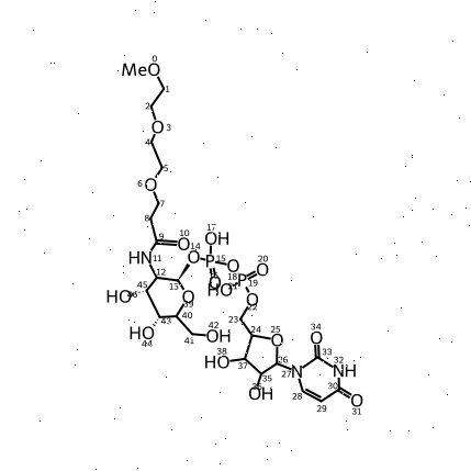 COCCOCCOCCC(=O)NC1[C@@H](OP(=O)(O)OP(=O)(O)OCC2OC(n3ccc(=O)[nH]c3=O)C(O)C2O)OC(CO)[C@H](O)[C@@H]1O